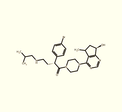 CC(C)CNCC[C@@H](C(=O)N1CCN(c2ncnc3c2C(C)C[C@H]3O)CC1)c1ccc(Br)cc1